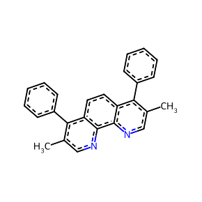 Cc1cnc2c(ccc3c(-c4ccccc4)c(C)cnc32)c1-c1ccccc1